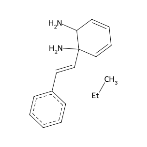 CCC.NC1C=CC=CC1(N)C=Cc1ccccc1